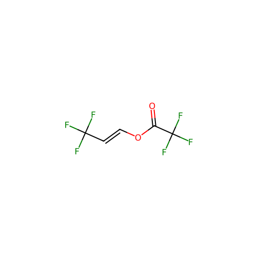 O=C(OC=CC(F)(F)F)C(F)(F)F